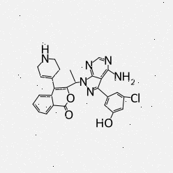 CC(c1oc(=O)c2ccccc2c1C1=CCNCC1)n1nc(-c2cc(O)cc(Cl)c2)c2c(N)ncnc21